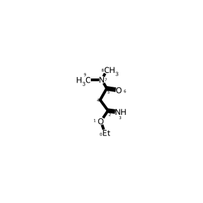 CCOC(=N)CC(=O)N(C)C